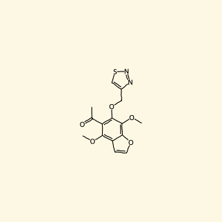 COc1c(C(C)=O)c(OCc2csnn2)c(OC)c2occc12